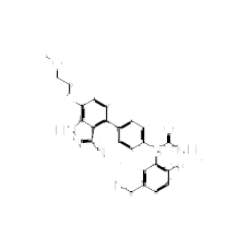 COCCOc1ccc(-c2ccc(N(C(N)=O)c3cc(CN)ccc3F)cc2)c2c(N)n[nH]c12